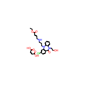 CCOC(=O)/C=C/CNCCCN1c2cc(Cl)ccc2C(=O)N(CCO)c2ccccc21.O=C(O)/C=C\C(=O)O